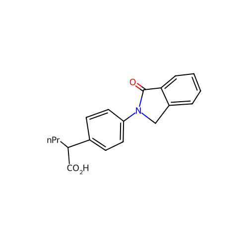 CCCC(C(=O)O)c1ccc(N2Cc3ccccc3C2=O)cc1